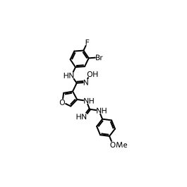 COc1ccc(NC(=N)Nc2cocc2/C(=N/O)Nc2ccc(F)c(Br)c2)cc1